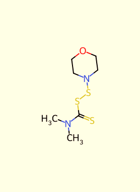 CN(C)C(=S)SSN1CCOCC1